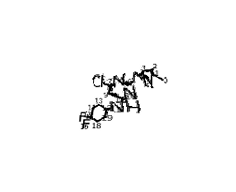 Cc1ccn(-c2nc(Cl)cc(NC3CCC(F)(F)CC3)n2)n1